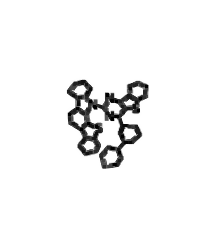 c1ccc(-c2cccc(-c3nc(-n4c5ccccc5c5ccc6c7ccccc7sc6c54)nc4c3sc3ccccc34)c2)cc1